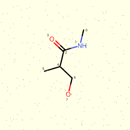 CNC(=O)C(C)C[O]